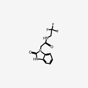 O=C(Cn1c(=O)[nH]c2ccccc21)NCC(F)(F)F